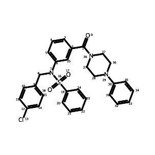 O=C(c1cccc(N(Cc2ccc(Cl)cc2)S(=O)(=O)c2ccccc2)c1)N1CCN(c2ccccc2)CC1